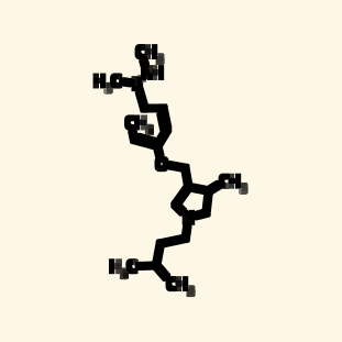 C/C=C(\C=C/CB(C)NC)OCC1CN(CCC(C)C)CC1C